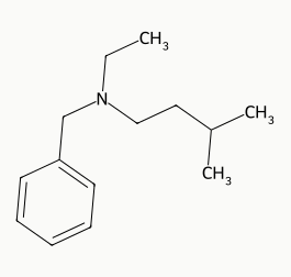 CCN(CCC(C)C)Cc1ccccc1